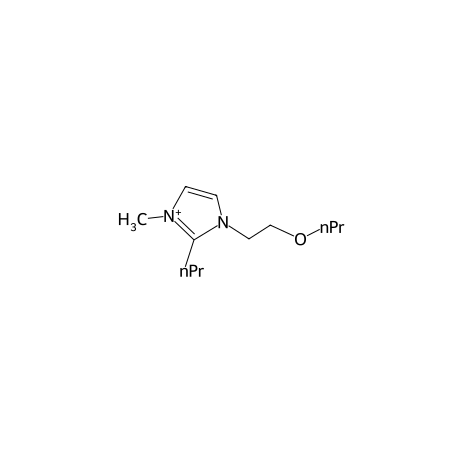 CCCOCCn1cc[n+](C)c1CCC